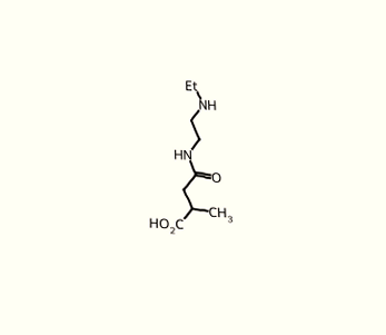 CCNCCNC(=O)CC(C)C(=O)O